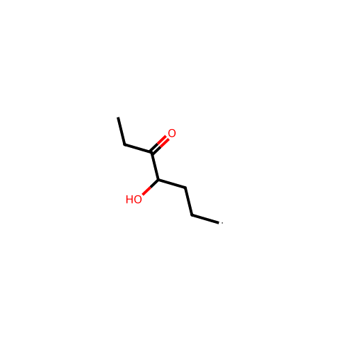 [CH2]CCC(O)C(=O)CC